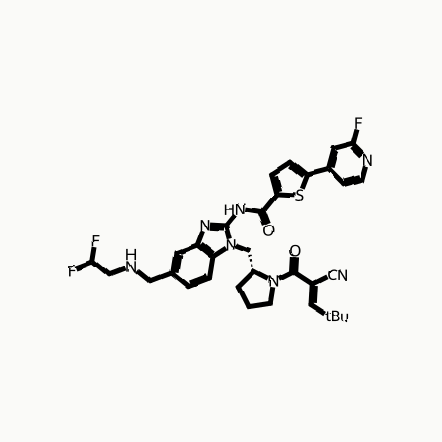 CC(C)(C)C=C(C#N)C(=O)N1CCC[C@@H]1Cn1c(NC(=O)c2ccc(-c3ccnc(F)c3)s2)nc2cc(CNCC(F)F)ccc21